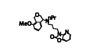 CCCN(CCCCn1c(=O)oc2cccnc21)C1COCc2c(OC)cccc21